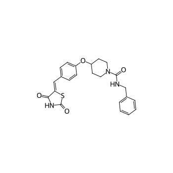 O=C1NC(=O)/C(=C/c2ccc(OC3CCN(C(=O)NCc4ccccc4)CC3)cc2)S1